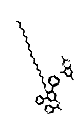 CCCCCCCCCCCCCCCCCCCCOc1c(-c2ccccc2)cc(N=C(C)c2cccnc2)cc1-c1ccccc1.C[C]([Co])=Nc1c(C)cc(C)cc1C